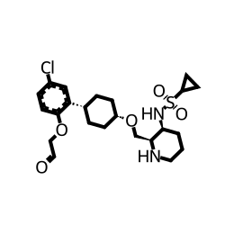 O=CCOc1ccc(Cl)cc1[C@H]1CC[C@@H](OC[C@@H]2NCCC[C@@H]2NS(=O)(=O)C2CC2)CC1